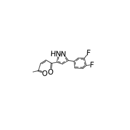 CC(=O)/C=C\C(=O)c1cc(-c2ccc(F)c(F)c2)n[nH]1